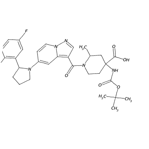 CC1CC(NC(=O)OC(C)(C)C)(C(=O)O)CCN1C(=O)c1cnn2ccc(N3CCCC3c3cc(F)ccc3F)cc12